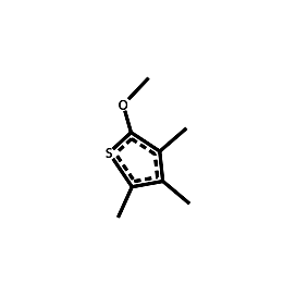 COc1sc(C)c(C)c1C